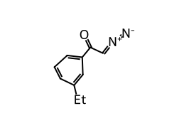 CCc1cccc(C(=O)C=[N+]=[N-])c1